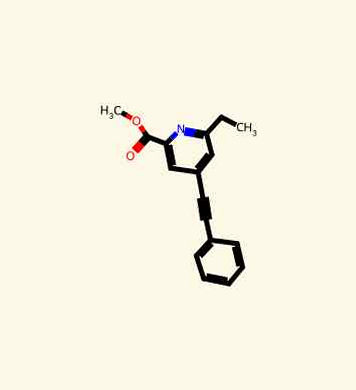 CCc1cc(C#Cc2ccccc2)cc(C(=O)OC)n1